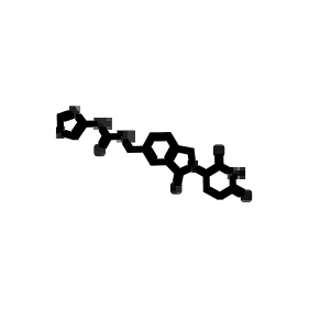 O=C1CCC(N2Cc3ccc(CNC(=O)Nc4cscn4)cc3C2=O)C(=O)N1